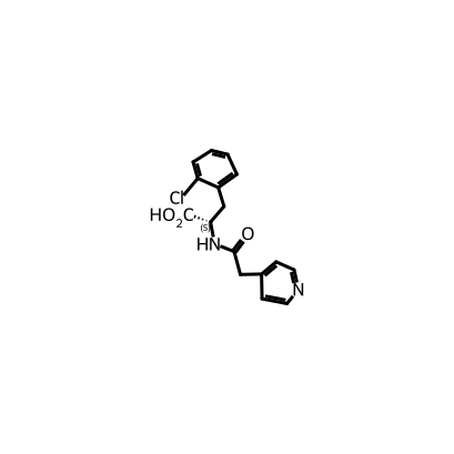 O=C(Cc1ccncc1)N[C@@H](Cc1ccccc1Cl)C(=O)O